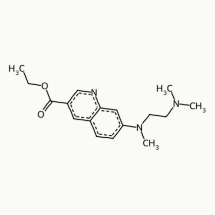 CCOC(=O)c1cnc2cc(N(C)CCN(C)C)ccc2c1